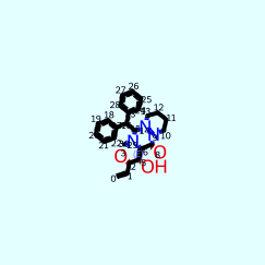 C=CC(=O)/C(O)=C1/C(=O)N2CCCCN2C(C(c2ccccc2)c2ccccc2)N1C